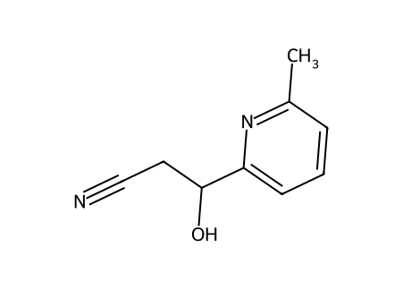 Cc1cccc(C(O)CC#N)n1